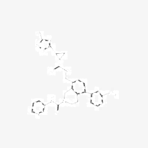 Cc1noc([C@H]2C[C@@H]2C(=O)NCc2ccc(-c3cccc(C(F)(F)F)c3)c3c2CN(C(=O)Nc2cccnc2)CC3)n1